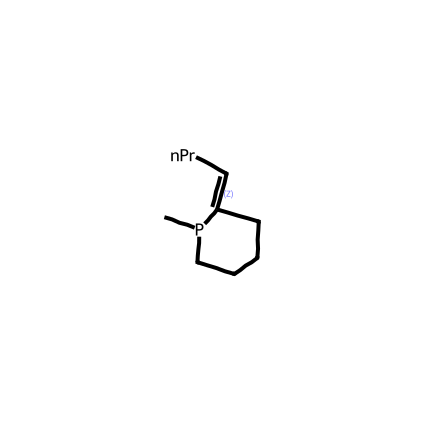 CCC/C=C1/CCCCP1C